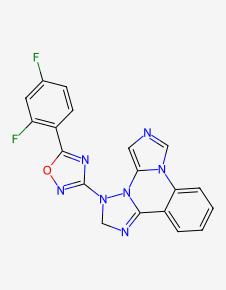 Fc1ccc(-c2nc(N3CN=C4c5ccccc5-n5cncc5N43)no2)c(F)c1